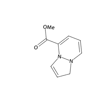 COC(=O)C1=CC=CN2CC=CN12